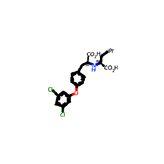 CC(C)C[C@H](N[C@@H](Cc1ccc(Oc2cc(Cl)cc(Cl)c2)cc1)C(=O)O)C(=O)O